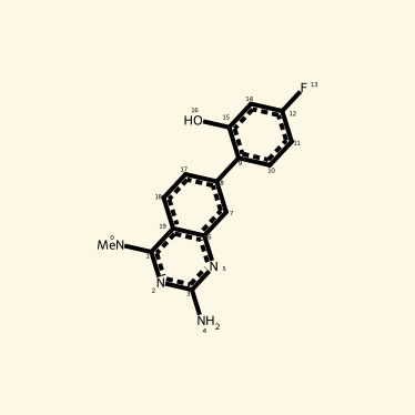 CNc1nc(N)nc2cc(-c3ccc(F)cc3O)ccc12